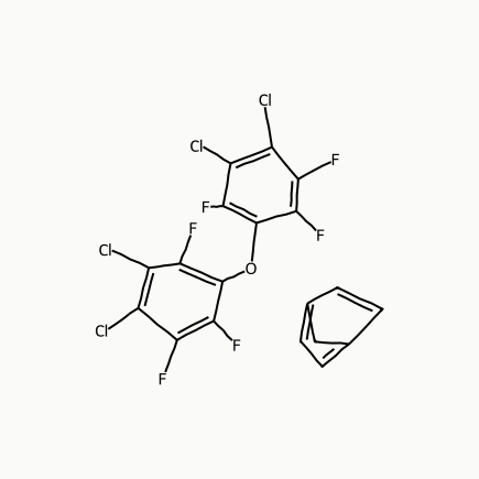 C1=CC2=CC=C1C2.Fc1c(F)c(Oc2c(F)c(F)c(Cl)c(Cl)c2F)c(F)c(Cl)c1Cl